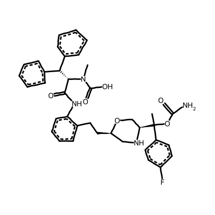 CN(C(=O)O)[C@H](C(=O)Nc1ccccc1CC[C@@H]1CN[C@H](C(C)(OC(N)=O)c2ccc(F)cc2)CO1)C(c1ccccc1)c1ccccc1